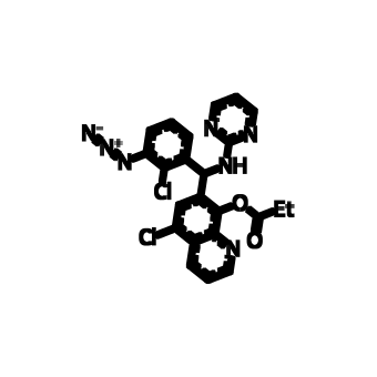 CCC(=O)Oc1c(C(Nc2ncccn2)c2cccc(N=[N+]=[N-])c2Cl)cc(Cl)c2cccnc12